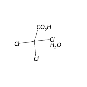 O.O=C(O)C(Cl)(Cl)Cl